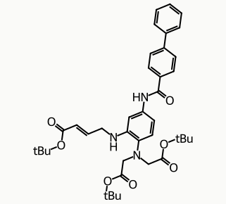 CC(C)(C)OC(=O)C=CCNc1cc(NC(=O)c2ccc(-c3ccccc3)cc2)ccc1N(CC(=O)OC(C)(C)C)CC(=O)OC(C)(C)C